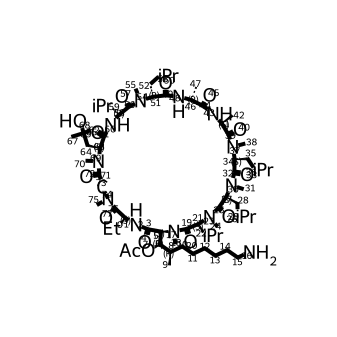 CC[C@@H]1NC(=O)[C@H]([C@H](OC(C)=O)[C@H](C)CCCCCCN)N(C)C(=O)[C@H](C(C)C)N(C)C(=O)[C@H](CC(C)C)N(C)C(=O)[C@H](CC(C)C)N(C)C(=O)[C@H](C)NC(=O)[C@@H](C)NC(=O)[C@@H](CC(C)C)N(C)C(=O)[C@@H](C(C)C)NC(=O)[C@H](CC(C)(C)O)N(C)C(=O)CN(C)C1=O